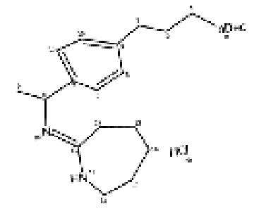 CCCCCCCCCCCCCc1ccc(C(C)N=C2CCCCCN2)cc1.Cl